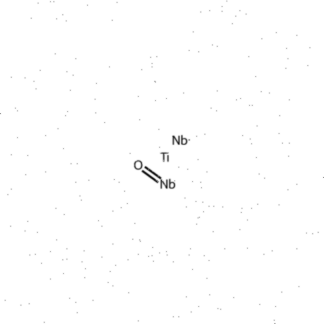 [Nb].[O]=[Nb].[Ti]